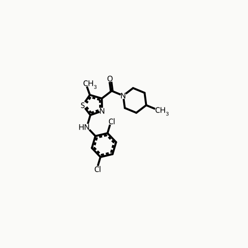 Cc1sc(Nc2cc(Cl)ccc2Cl)nc1C(=O)N1CCC(C)CC1